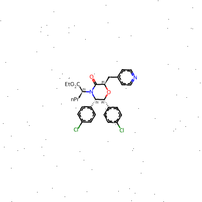 CCC[C@@H](C(=O)OCC)N1C(=O)[C@@H](Cc2ccncc2)O[C@H](c2ccc(Cl)cc2)[C@@H]1c1ccc(Cl)cc1